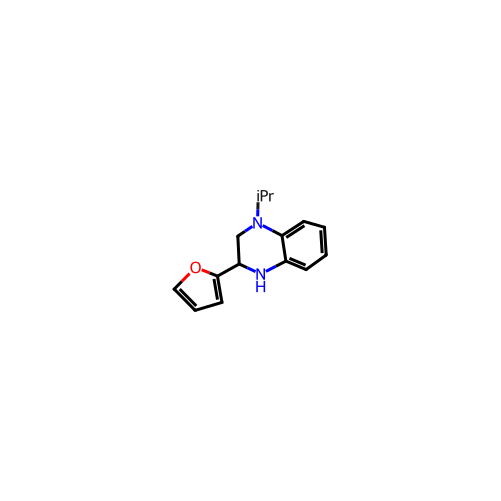 CC(C)N1CC(c2ccco2)Nc2ccccc21